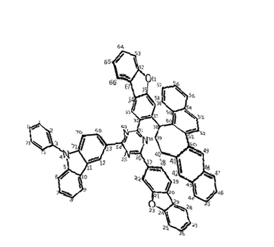 c1ccc(-n2c3ccccc3c3cc(-c4nc(-c5ccc6c(c5)oc5ccccc56)nc(-c5cc6c(cc5C5CCc7cc8ccccc8cc7-c7ccc8ccccc8c75)oc5ccccc56)n4)ccc32)cc1